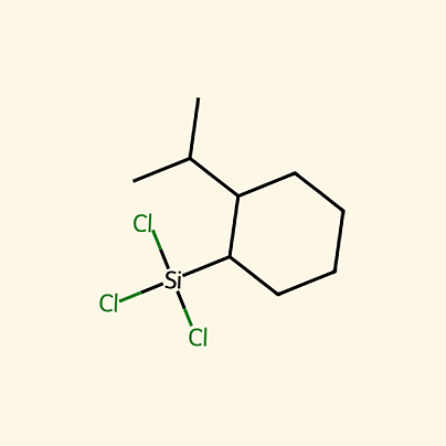 CC(C)C1CCCCC1[Si](Cl)(Cl)Cl